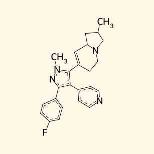 CC1CC2C=C(c3c(-c4ccncc4)c(-c4ccc(F)cc4)nn3C)CCN2C1